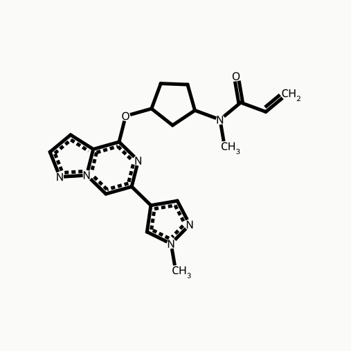 C=CC(=O)N(C)C1CCC(Oc2nc(-c3cnn(C)c3)cn3nccc23)C1